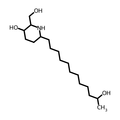 CC(O)CCCCCCCCCCC1CCC(O)C(CO)N1